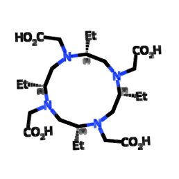 CC[C@@H]1CN(CC(=O)O)[C@H](CC)CN(CC(=O)O)[C@H](CC)CN(CC(=O)O)[C@H](CC)CN1CC(=O)O